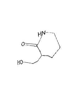 O=C1NCCCC1CO